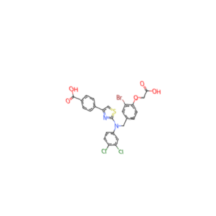 O=C(O)COc1ccc(CN(c2ccc(Cl)c(Cl)c2)c2nc(-c3ccc(C(=O)O)cc3)cs2)cc1Br